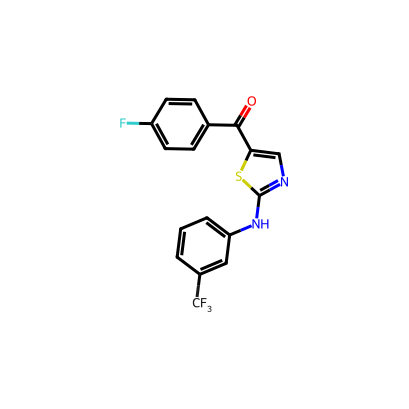 O=C(c1ccc(F)cc1)c1cnc(Nc2cccc(C(F)(F)F)c2)s1